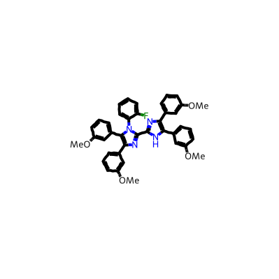 COc1cccc(-c2nc(-c3nc(-c4cccc(OC)c4)c(-c4cccc(OC)c4)n3-c3ccccc3F)[nH]c2-c2cccc(OC)c2)c1